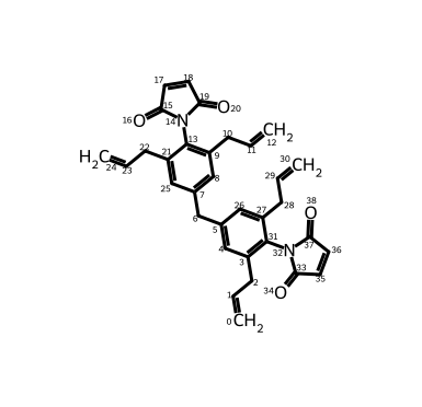 C=CCc1cc(Cc2cc(CC=C)c(N3C(=O)C=CC3=O)c(CC=C)c2)cc(CC=C)c1N1C(=O)C=CC1=O